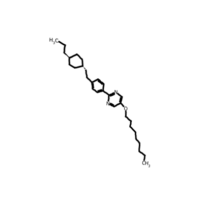 CCCCCCCCCOc1cnc(-c2ccc(CC[C@H]3CC[C@H](CCC)CC3)cc2)nc1